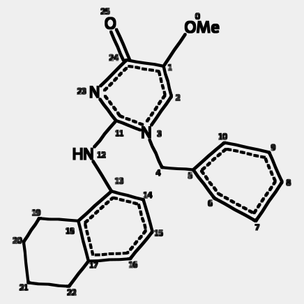 COc1cn(Cc2ccccc2)c(Nc2cccc3c2CCCC3)nc1=O